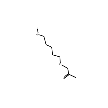 CC(=O)COCCCCCNI